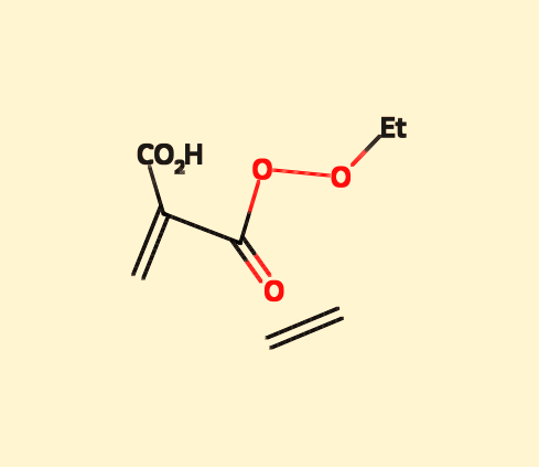 C=C.C=C(C(=O)O)C(=O)OOCC